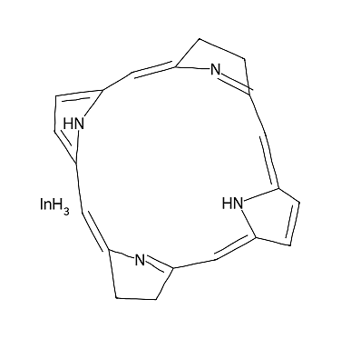 [InH3].c1cc2cc3nc(cc4ccc(cc5nc(cc1[nH]2)CC5)[nH]4)CC3